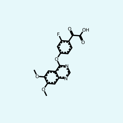 COc1cc2ncnc(Oc3ccc(C(=O)C(=O)O)c(F)c3)c2cc1OC